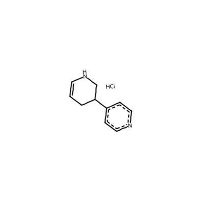 C1=CNCC(c2ccncc2)C1.Cl